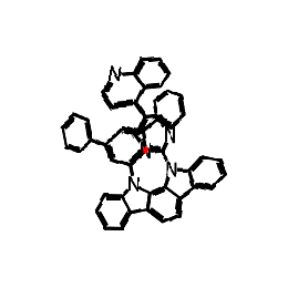 c1ccc(-c2cc(-c3ccccc3)cc(-n3c4ccccc4c4ccc5c6ccccc6n(-c6ncc(-c7ccnc8ccccc78)cn6)c5c43)c2)cc1